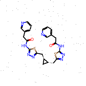 O=C(Cc1cccnc1)Nc1nnc(C[C@@H]2C[C@H]2Cc2nnc(NC(=O)Cc3cccnc3)s2)s1